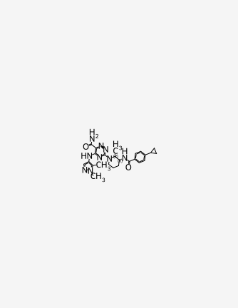 Cc1c(Nc2nc(N3CCC[C@@H](NC(=O)c4ccc(C5CC5)cc4)[C@H]3C)nnc2C(N)=O)cnn1C